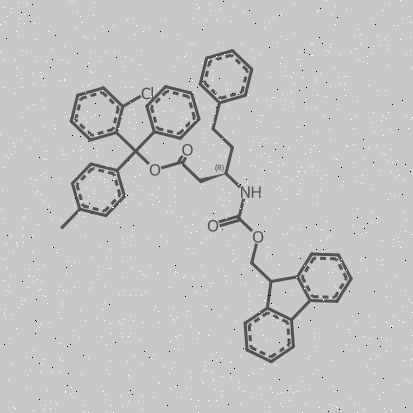 Cc1ccc(C(OC(=O)C[C@@H](CCc2ccccc2)NC(=O)OCC2c3ccccc3-c3ccccc32)(c2ccccc2)c2ccccc2Cl)cc1